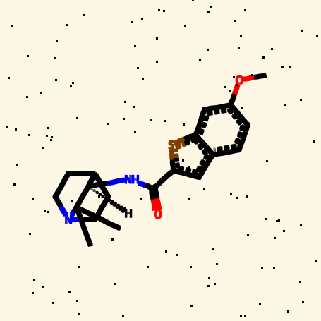 COc1ccc2cc(C(=O)N[C@@H]3C4CCN(CC4)C3(C)C)sc2c1